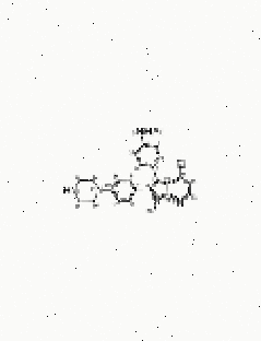 CC(=O)Nc1ccc(-c2c(-c3ccc(N4CCNCC4)cc3)n(C)c3nccc(Cl)c23)cc1